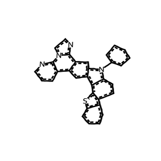 c1ccc(-n2c3cc4c(cc3c3c5sc6ccccc6c5ccc32)c2cccnc2n2ccnc42)cc1